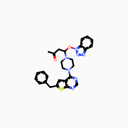 CC(=O)CC(On1nnc2ccccc21)N1CCN(c2ncnc3sc(Cc4ccccc4)cc23)CC1